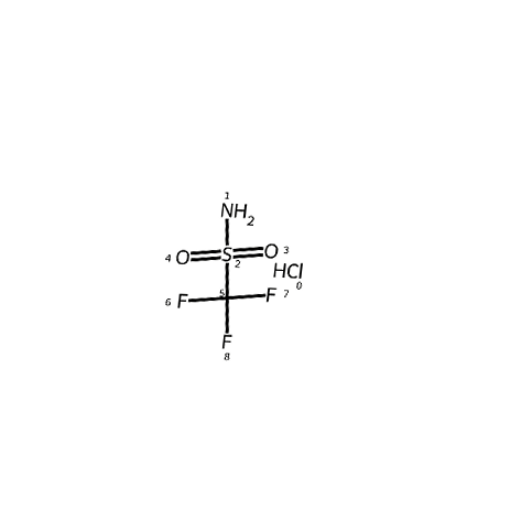 Cl.NS(=O)(=O)C(F)(F)F